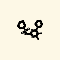 Cc1nc(NS(=O)(=O)c2ccccc2)nc(-c2ccccc2)c1C